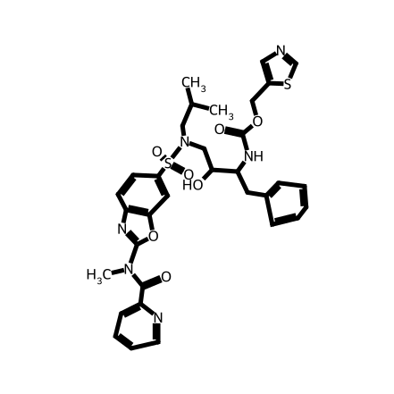 CC(C)CN(CC(O)C(Cc1ccccc1)NC(=O)OCc1cncs1)S(=O)(=O)c1ccc2nc(N(C)C(=O)c3ccccn3)oc2c1